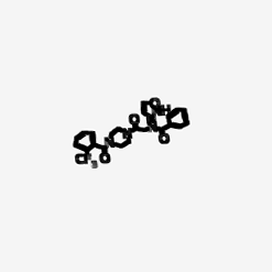 O=C(CN(C(=O)c1ccccc1)N1C=CON1)N1CCN(C(=O)c2ccccc2C(F)(F)F)CC1